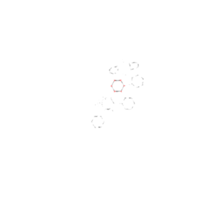 c1ccc(C2=NC(c3ccccc3-c3cccc4c3-c3ccccc3C43c4ccccc4Sc4ccccc43)=C(c3ccccc3)NN2)cc1